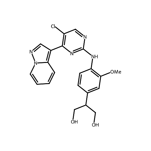 COc1cc(C(CO)CO)ccc1Nc1ncc(Cl)c(-c2cnn3ccccc23)n1